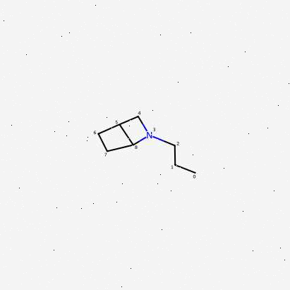 CCCN1CC2CCC21